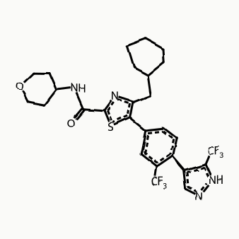 O=C(NC1CCOCC1)c1nc(CC2CCCCC2)c(-c2ccc(-c3cn[nH]c3C(F)(F)F)c(C(F)(F)F)c2)s1